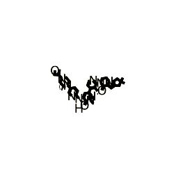 [CH2]c1c(-c2cc(Nc3ccc(N4CCN(C5COC5)C[C@@H]4C)cn3)c(=O)n(C)n2)ccnc1N1CCn2c(cc3c2CC(C)(C)C3)C1=O